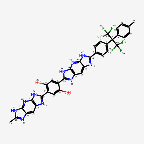 Cc1ccc(C(c2ccc(-c3nc4cc5nc(-c6cc(O)c(-c7nc8cc9nc(C)[nH]c9nc8[nH]7)cc6O)[nH]c5nc4[nH]3)cc2)(C(F)(F)F)C(F)(F)F)cc1